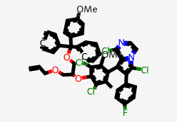 C=CCOCC(COC(c1ccccc1)(c1ccc(OC)cc1)c1ccc(OC)cc1)Oc1c(Cl)c(C)c(-c2c(-c3ccc(F)cc3)c(Cl)n3ccnc(Cl)c23)c(C)c1Cl